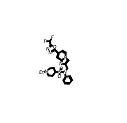 CCN1CCC(S(=O)(=O)N(Cc2cn3ccc(-c4nnc(C(F)F)o4)cc3n2)c2ccccc2)CC1